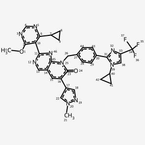 COc1ncnc(C2CC2)c1-c1ncc2cc(-c3cnn(C)c3)c(=O)n(Cc3ccc(-c4nc(C(F)(F)F)cn4C4CC4)cc3)c2n1